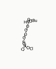 CC(C)(C)OC(=O)NCCOCCOCCOCCOCCN1CCN(C(c2ccccc2)c2ccc(Cl)cc2)CC1